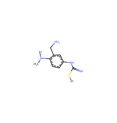 CCSC(=N)Nc1ccc(N(C)CC)c(CN)c1